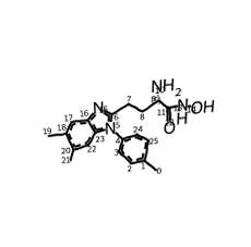 Cc1ccc(-n2c(CC[C@H](N)C(=O)NO)nc3cc(C)c(C)cc32)cc1